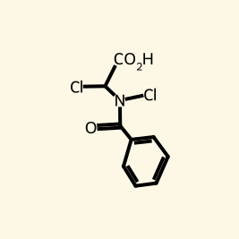 O=C(O)C(Cl)N(Cl)C(=O)c1ccccc1